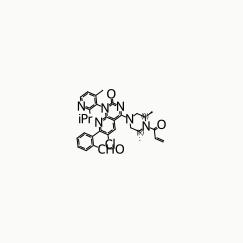 C=CC(=O)N1[C@H](C)CN(c2nc(=O)n(-c3c(C)ccnc3C(C)C)c3nc(-c4ccccc4C=O)c(Cl)cc23)C[C@H]1C